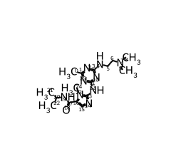 Cc1nc(NCCN(C)C)nc(Nc2ncc(C(=O)NC(C)C)n2C)n1